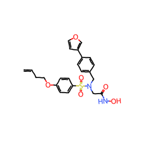 C=CCCOc1ccc(S(=O)(=O)N(CC(=O)NO)Cc2ccc(-c3ccoc3)cc2)cc1